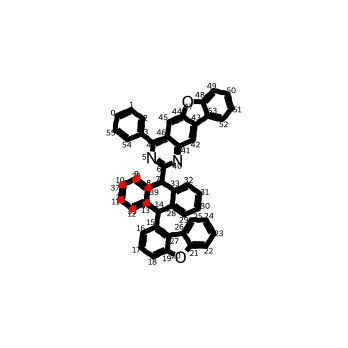 c1ccc(-c2nc(C34c5ccccc5C(c5cccc6oc7ccccc7c56)(c5ccccc53)c3ccccc34)nc3cc4c(cc23)oc2ccccc24)cc1